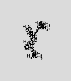 COC(=O)c1csc(N(CCCCCO[Si](C)(C)C(C)(C)C)c2cc(C)c(/N=c3\sc4ccccc4n3COCC[Si](C)(C)C)nn2)n1